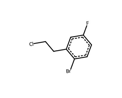 Fc1ccc(Br)c(CCCl)c1